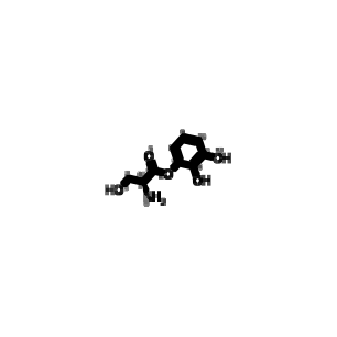 N[C@@H](CO)C(=O)Oc1cccc(O)c1O